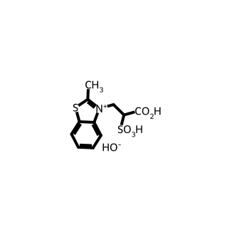 Cc1sc2ccccc2[n+]1CC(C(=O)O)S(=O)(=O)O.[OH-]